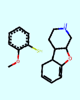 C1=CCC2C(=C1)OC1CNCCC12.COc1ccccc1S